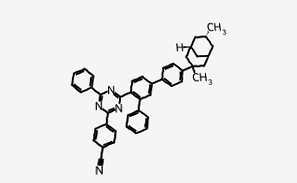 C[C@@H]1CC2C[C@@H](C1)CC(C)(c1ccc(-c3ccc(-c4nc(-c5ccccc5)nc(-c5ccc(C#N)cc5)n4)c(-c4ccccc4)c3)cc1)C2